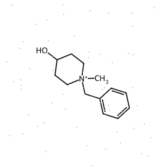 C[N+]1(Cc2ccccc2)CCC(O)CC1